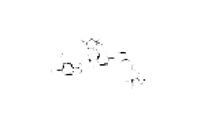 COc1cc(S(=O)(=O)NC(=O)c2ccc(-n3ccc(OCCC4(C(F)(F)F)CC4)n3)nc2N2CC(C)CC2(C)C)ccc1O